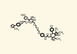 CC1=C(c2ccc(CNC(=O)[C@@H]3C[C@@H](O)CN3C(=O)C(NC(=O)COCCOCCOc3ccc(NC(=O)CC4N=C(c5ccc(Cl)cc5)c5c([nH]c(C)c5C)-n5c(C)nnc54)cc3)C(C)(C)C)cc2)CC=N1